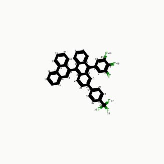 Fc1cc(-c2c3ccccc3c(-c3cc4ccccc4c4ccccc34)c3ccc(-c4ccc(C(F)(F)F)cc4)cc23)cc(F)c1F